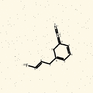 [N-]=[N+]=C1C=CC=C(CC=CF)C1